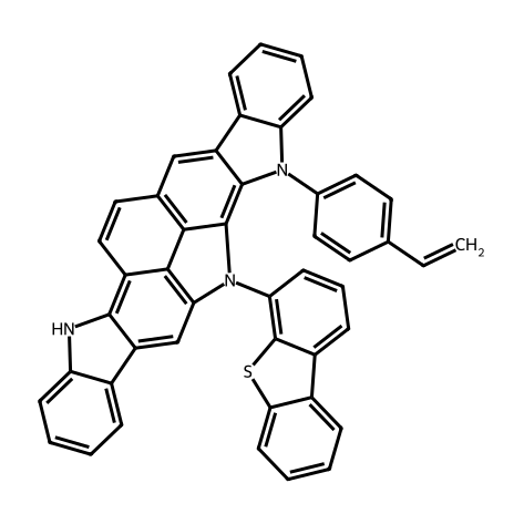 C=Cc1ccc(-n2c3ccccc3c3cc4ccc5c6[nH]c7ccccc7c6cc6c5c4c(c32)n6-c2cccc3c2sc2ccccc23)cc1